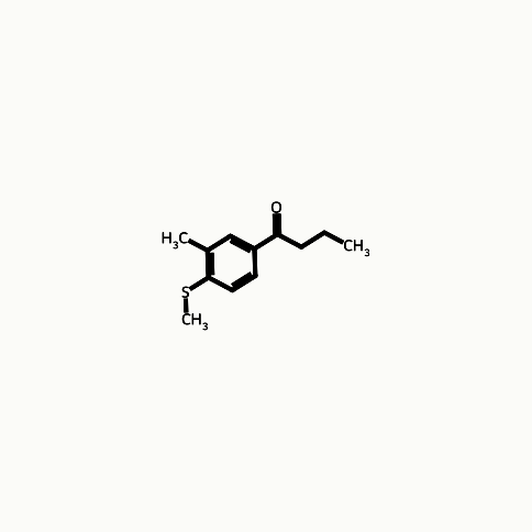 CCCC(=O)c1ccc(SC)c(C)c1